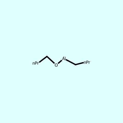 CCCC[O][Al][CH2]CCC